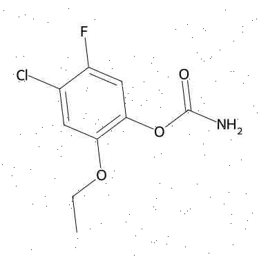 CCOc1cc(Cl)c(F)cc1OC(N)=O